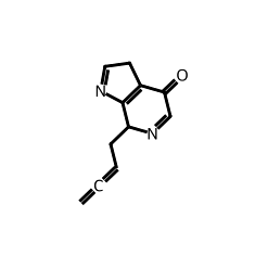 C=C=CCC1N=CC(=O)C2=C1N=CC2